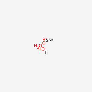 O.[OH-].[OH-].[Sr+2].[Ti]